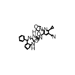 N#Cc1cc(-c2nnc(NC3N=C(c4ccccc4)c4ccccc4NC3=O)o2)c(N2CCOCC2)nc1C1CC1